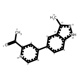 CC(=O)c1cc(-c2ccc3[nH]nc(C)c3c2)ccn1